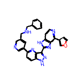 c1ccc(CNCc2cncc(-c3ccc4[nH]nc(-c5nc6c(-c7ccoc7)nccc6[nH]5)c4n3)c2)cc1